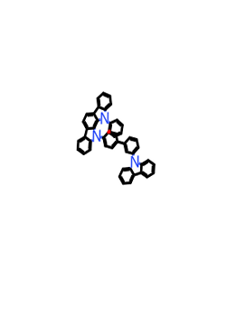 c1ccc(-n2c3ccccc3c3ccc4c5ccccc5n(-c5ccc(-c6cccc(-n7c8ccccc8c8ccccc87)c6)cc5)c4c32)cc1